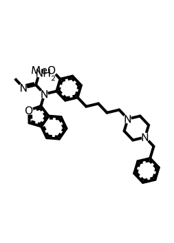 CN=C(N)N(c1cc(CCCCN2CCN(Cc3ccccc3)CC2)ccc1OC)c1occ2ccccc12